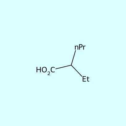 [CH2]CC(CCC)C(=O)O